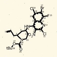 C=CCC1CC(Nc2c([N+](=O)[O-])c(Cl)nc3c(F)c(Br)c(Cl)cc23)CCN1C(=O)OC(C)(C)C